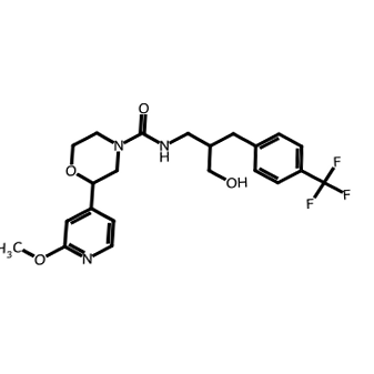 COc1cc(C2CN(C(=O)NCC(CO)Cc3ccc(C(F)(F)F)cc3)CCO2)ccn1